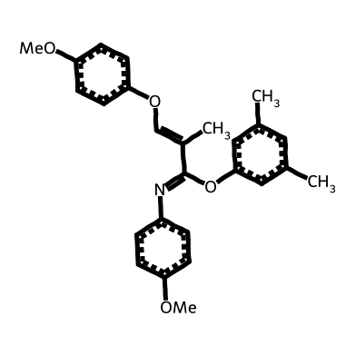 COc1ccc(N=C(Oc2cc(C)cc(C)c2)C(C)=COc2ccc(OC)cc2)cc1